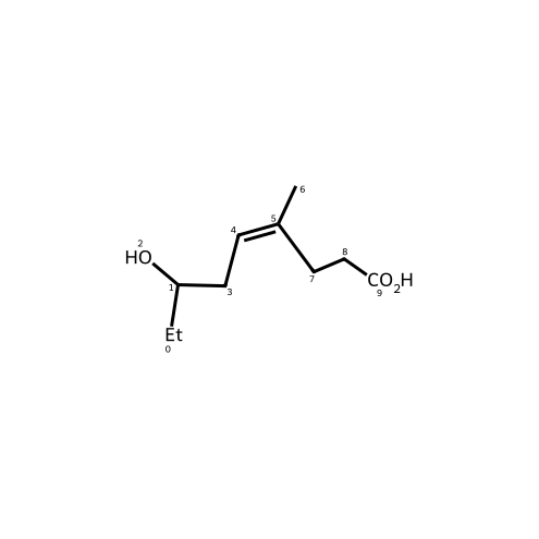 CCC(O)CC=C(C)CCC(=O)O